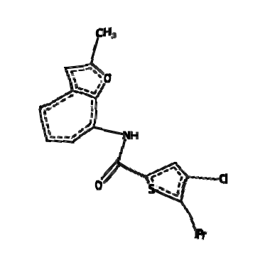 Cc1cc2cccc(NC(=O)c3cc(Cl)c(C(C)C)s3)c2o1